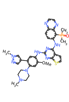 COc1cc(N2CCN(C)CC2)c(-c2cnn(C)c2)cc1Nc1nc(Nc2ccc3nccnc3c2P(C)(C)=O)c2ccsc2n1